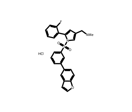 CNCc1cc(-c2ccccc2F)n(S(=O)(=O)c2cccc(-c3ccc4occc4c3)c2)c1.Cl